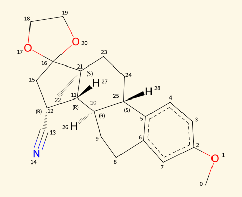 COc1ccc2c(c1)CC[C@H]1[C@@H]3[C@H](C#N)CC4(OCCO4)[C@@]3(C)CC[C@H]21